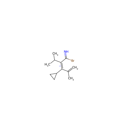 C=C(C)/C(=C(\C(=N)Br)C(C)C)C1CC1